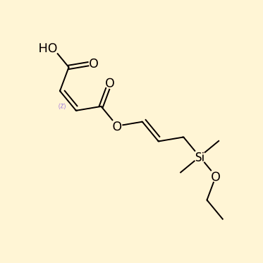 CCO[Si](C)(C)CC=COC(=O)/C=C\C(=O)O